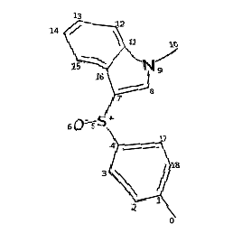 Cc1ccc([S+]([O-])c2cn(C)c3ccccc23)cc1